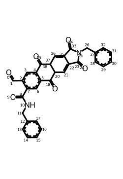 O=Cc1cc2c(cc1C(=O)NCc1ccccc1)C(=O)C1C=C3C(=O)N(Cc4ccccc4)C(=O)C3=CC1C2=O